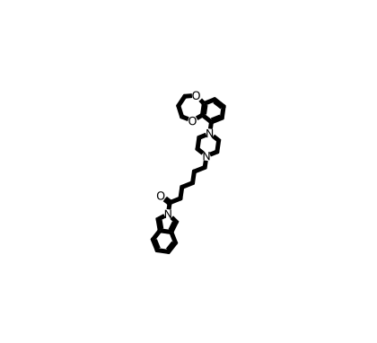 O=C(CCCCCN1CCN(c2cccc3c2OCCCO3)CC1)n1cc2ccccc2c1